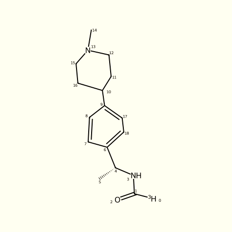 [3H]C(=O)N[C@H](C)c1ccc(C2CCN(C)CC2)cc1